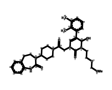 COCOCCN1C(=O)N(CC(=O)N2CCC(N3CCc4ccccc4NC3=O)CC2)C=C(c2cccc(C)c2C)C1O